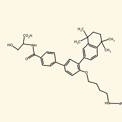 CC(C)NCCCCOc1ccc(-c2ccc(C(=O)NC(CO)C(=O)O)cc2)cc1-c1ccc2c(c1)C(C)(C)CCC2(C)C